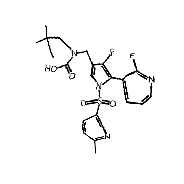 Cc1ccc(S(=O)(=O)n2cc(CN(CC(C)(C)C)C(=O)O)c(F)c2-c2cccnc2F)cn1